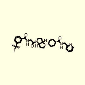 O=C(NCC(=O)N1CC[C@H]2[C@@H]1CCN2[C@H]1CC[C@H](C(=O)NCc2ccccn2)CC1)c1cccc(C(F)(F)F)c1